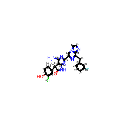 C[C@@]1(c2ccc(O)c(Cl)c2)C(=O)Nc2nc(-c3cn4ccnc4c(Cc4cccc(F)c4)n3)nc(N)c21